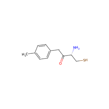 Cc1ccc([CH]C(=O)[C@H](N)CS)cc1